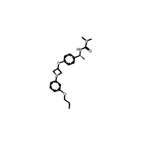 CCCOc1cccc(N2CC(Oc3ccc([C@H](C)NC(=O)N(C)C)cc3)C2)c1